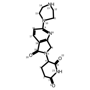 O=C1CCC(N2Cc3nc(N4CCNCC4)ccc3C2=O)C(=O)N1